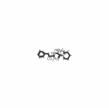 C[C@H](NC(CCc1ccccc1)C(=O)O)C(=O)N1CCCCC1C(=O)O